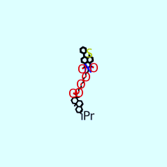 CC(C)C1=CC2=CCC3C(C)(C(=O)OCCOCCOCCn4c(=O)c5ccc6sc7ccccc7c7ccc(c4=O)c5c67)CCCC3(C)C2CC1